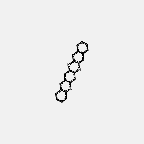 c1ccc2cc3nc4cc5nc6ccccc6nc5cc4nc3cc2c1